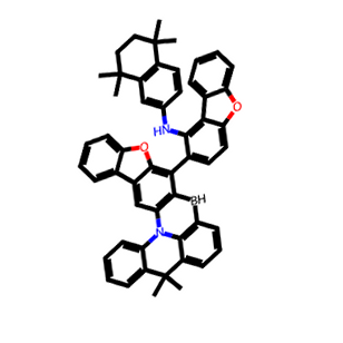 CC1(C)CCC(C)(C)c2cc(Nc3c(-c4c5c(cc6c4oc4ccccc46)N4c6ccccc6C(C)(C)c6cccc(c64)B5)ccc4oc5ccccc5c34)ccc21